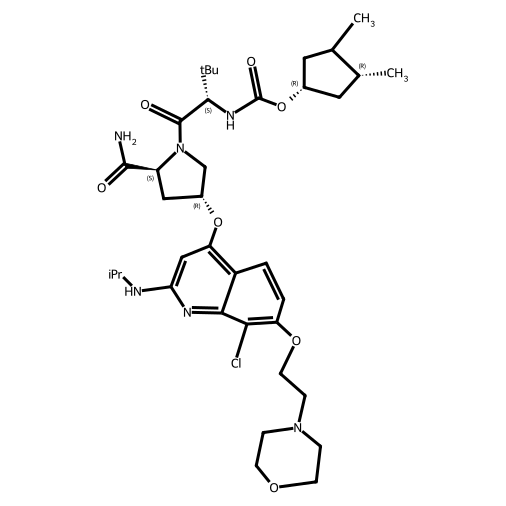 CC(C)Nc1cc(O[C@@H]2C[C@@H](C(N)=O)N(C(=O)[C@@H](NC(=O)O[C@@H]3CC(C)[C@H](C)C3)C(C)(C)C)C2)c2ccc(OCCN3CCOCC3)c(Cl)c2n1